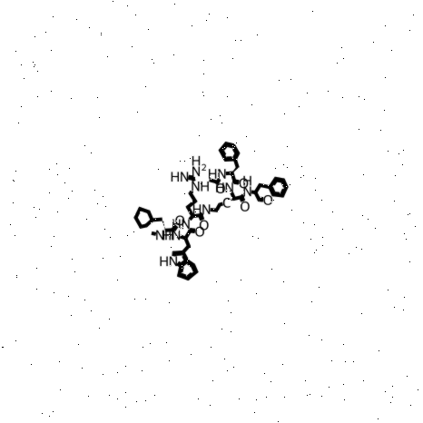 CN[C@H](CC1CCCCC1)C(=O)NC(Cc1c[nH]c2ccccc12)C(=O)NC(CCCNC(=N)N)C(=O)NCCC[C@H](NC(=O)[C@H](Cc1ccccc1)NC(C)=O)C(=O)NC(C=O)Cc1ccccc1